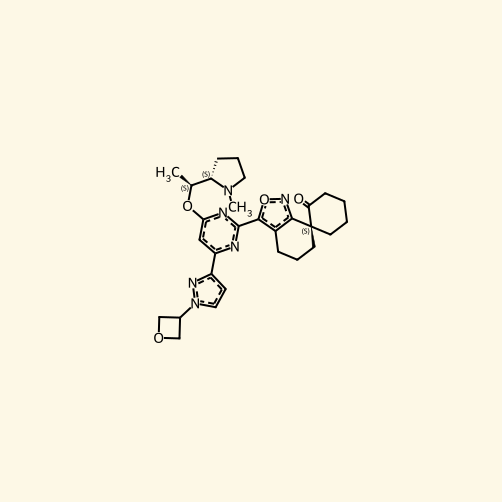 C[C@H](Oc1cc(-c2ccn(C3COC3)n2)nc(-c2onc3c2CCC[C@@]32CCCCC2=O)n1)[C@@H]1CCCN1C